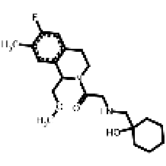 COCC1c2cc(C)c(F)cc2CCN1C(=O)CNCC1(O)CCCCC1